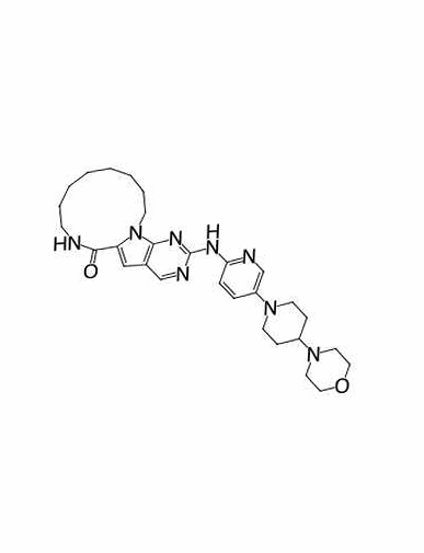 O=C1NCCCCCCCCn2c1cc1cnc(Nc3ccc(N4CCC(N5CCOCC5)CC4)cn3)nc12